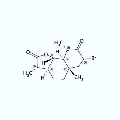 C[C@@H]1C(=O)O[C@H]2[C@H]1CC[C@@]1(C)C[C@@H](Br)C(=O)[C@@H](C)[C@H]21